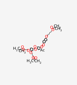 C=C(C)C(=O)OCCCCCCOc1ccc2cc(OCOc3ccc(OC(=O)c4ccc(OCCCOC(=O)C(=C)C)c(OCCCOC(=O)C(=C)C)c4)cc3C(C)=O)ccc2c1